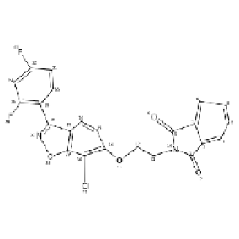 O=C1c2ccccc2C(=O)N1CCOc1ccc2c(-c3ccc(F)cc3F)noc2c1Cl